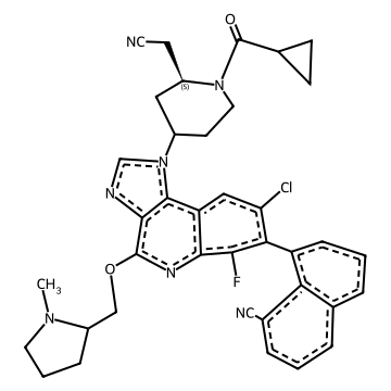 CN1CCCC1COc1nc2c(F)c(-c3cccc4cccc(C#N)c34)c(Cl)cc2c2c1ncn2C1CCN(C(=O)C2CC2)[C@H](CC#N)C1